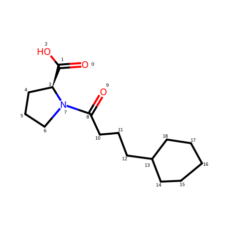 O=C(O)[C@@H]1CCCN1C(=O)CCCC1CCCCC1